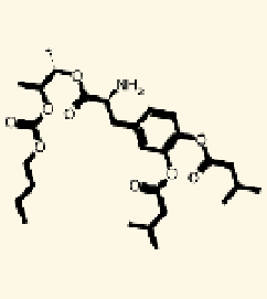 CCCCOC(=O)OC(C)[C@H](C)OC(=O)[C@@H](N)Cc1ccc(OC(=O)CC(C)C)c(OC(=O)CC(C)C)c1